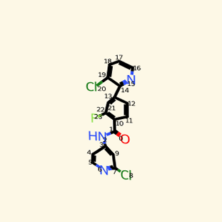 O=C(Nc1ccnc(Cl)c1)c1ccc(-c2ncccc2Cl)cc1F